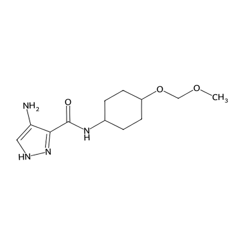 COCOC1CCC(NC(=O)c2n[nH]cc2N)CC1